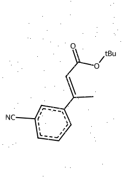 CC(=CC(=O)OC(C)(C)C)c1cccc(C#N)c1